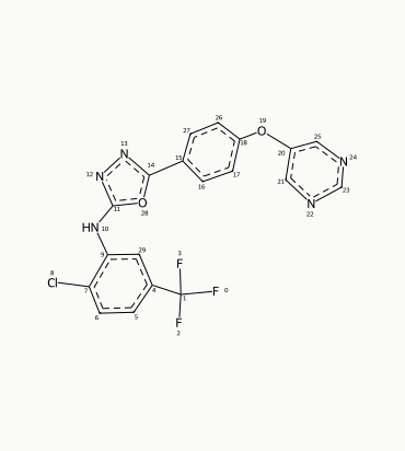 FC(F)(F)c1ccc(Cl)c(Nc2nnc(-c3ccc(Oc4cncnc4)cc3)o2)c1